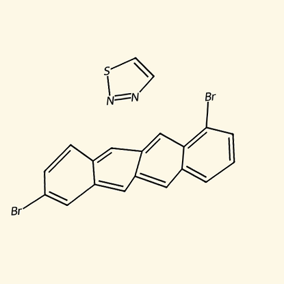 Brc1ccc2cc3cc4c(Br)cccc4cc3cc2c1.c1csnn1